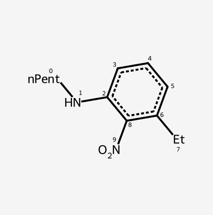 CCCCCNc1cccc(CC)c1[N+](=O)[O-]